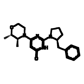 C[C@@H]1OCCN(c2cc(=O)[nH]c(N3CCC[C@H]3Cc3ccccc3)n2)[C@H]1C